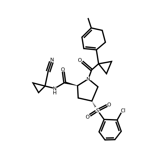 CC1=CC=C(C2(C(=O)N3C[C@H](S(=O)(=O)c4ccccc4Cl)C[C@H]3C(=O)NC3(C#N)CC3)CC2)CC1